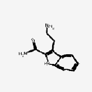 NCCc1c(C(N)=O)[nH]c2cc[c]cc12